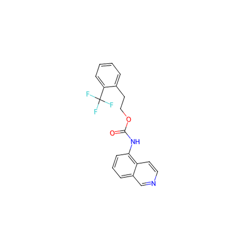 O=C(Nc1cccc2cnccc12)OCCc1ccccc1C(F)(F)F